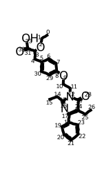 CCOC(Cc1ccc(OCCn2c(CC)nc(-c3ccccc3)c(CC)c2=O)cc1)C(=O)O